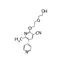 Cc1nc(OCCOCCO)c(C#N)cc1-c1ccncc1